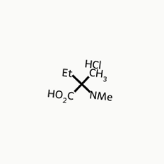 CCC(C)(NC)C(=O)O.Cl